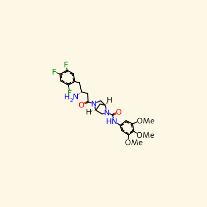 COc1cc(NC(=O)N2C[C@@H]3C[C@H]2CN3C(=O)C[C@H](N)Cc2cc(F)c(F)cc2F)cc(OC)c1OC